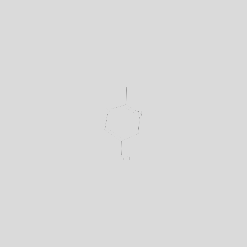 CCCC1=CSC(C)=NC1